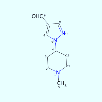 CN1CCC(n2cc(C=O)cn2)CC1